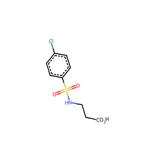 O=C(O)CCNS(=O)(=O)c1ccc(Cl)cc1